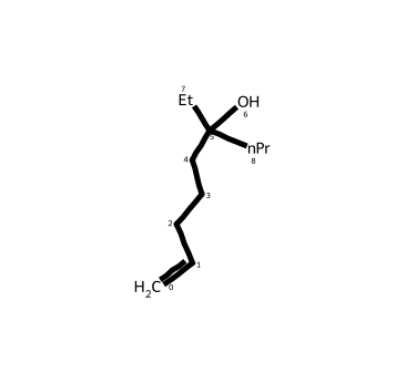 C=CCCCC(O)(CC)CCC